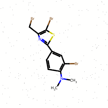 CN(C)c1ccc(-c2nc(CBr)c(Br)s2)cc1Br